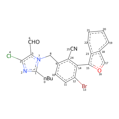 CCCCc1nc(Cl)c(C=O)n1Cc1ccc(Br)c(-c2occ3ccccc23)c1C#N